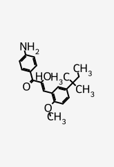 CCC(C)(C)c1ccc(OC)c(C=C(O)C(=O)c2ccc(N)cc2)c1